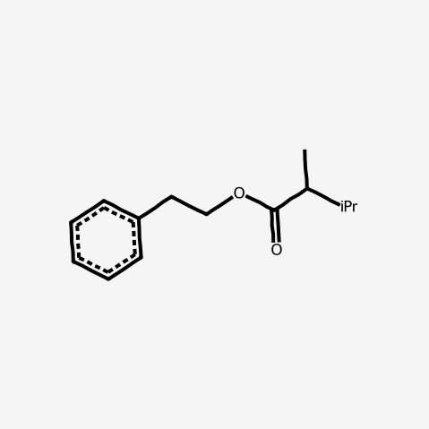 CC(C)C(C)C(=O)OCCc1ccccc1